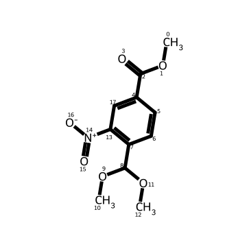 COC(=O)c1ccc(C(OC)OC)c([N+](=O)[O-])c1